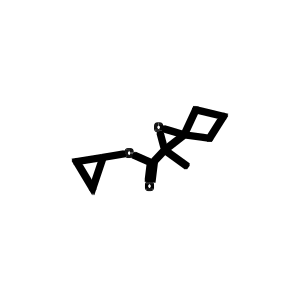 CC1(C(=O)OC2CC2)OC12CCC2